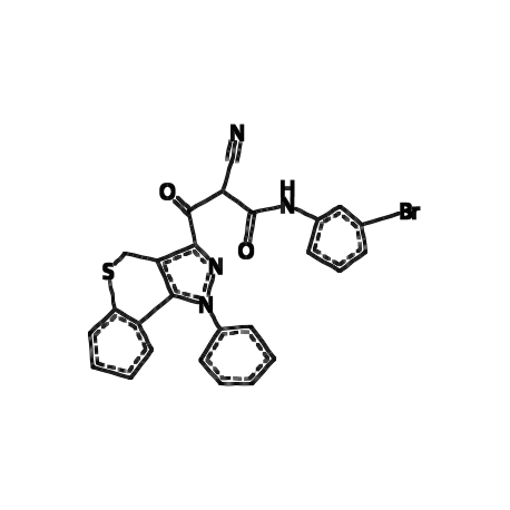 N#CC(C(=O)Nc1cccc(Br)c1)C(=O)c1nn(-c2ccccc2)c2c1CSc1ccccc1-2